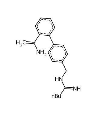 C=C(N)c1ccccc1-c1ccc(CNC(=N)CCCC)cc1